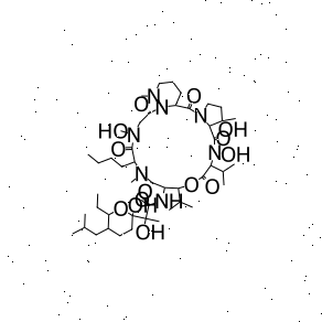 CCCCC1C(=O)N(O)CC(=O)N2C(CCCN2C)C(=O)N2CCC(C)(O)C2C(=O)N(O)C(C(C)C)C(=O)OC(C(C)C)C(NC(=O)C(C)(O)C2(O)CCC(CC(C)C)C(CC)O2)C(=O)N1C